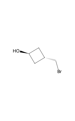 O[C@H]1C[C@H](CBr)C1